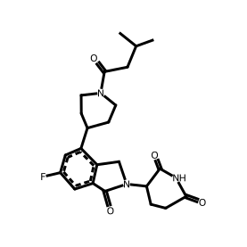 CC(C)CC(=O)N1CCC(c2cc(F)cc3c2CN(C2CCC(=O)NC2=O)C3=O)CC1